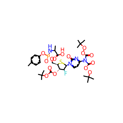 Cc1ccc(OP(=O)(NC(C)C(=O)O)OC[C@H]2S[C@@H](n3ccc(N(C(=O)OOC(C)(C)C)C(=O)OOC(C)(C)C)nc3=O)[C@@H](F)[C@@H]2OC(=O)OC(C)(C)C)cc1